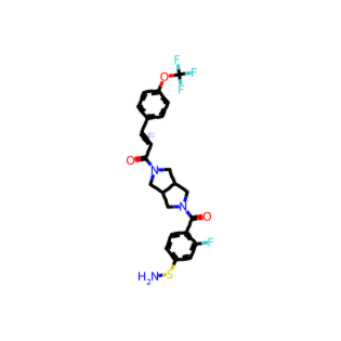 NSc1ccc(C(=O)N2CC3CN(C(=O)/C=C/c4ccc(OC(F)(F)F)cc4)CC3C2)c(F)c1